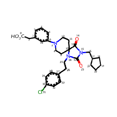 O=C(O)Cc1cccc(N2CCC3(CC2)C(=O)N(CC2CCCC2)C(=O)N3CCc2ccc(Cl)cc2)c1